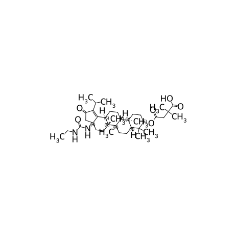 CCNC(=O)N[C@@]12CC[C@]3(C)[C@H](CC[C@@H]4[C@@]5(C)CC[C@H](OC(=O)CC(C)(C)C(=O)O)C(C)(C)[C@@H]5CC[C@]43C)C1=C(C(C)C)C(=O)C2